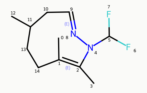 C/C1=C(/C)N(C(F)F)/N=C/CC(C)CC1